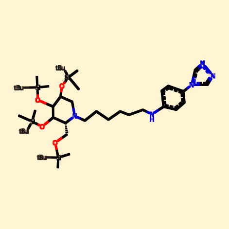 CC(C)(C)[Si](C)(C)OC[C@@H]1C(O[Si](C)(C)C(C)(C)C)C(O[Si](C)(C)C(C)(C)C)C(O[Si](C)(C)C(C)(C)C)CN1CCCCCCNc1ccc(-n2cnnc2)cc1